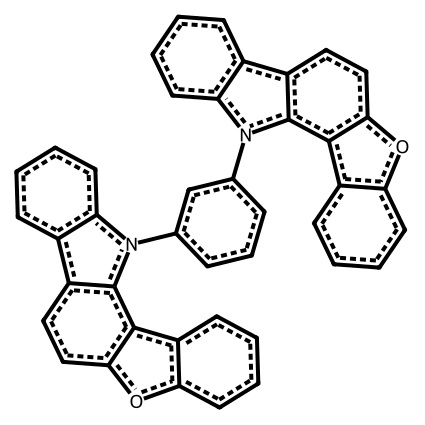 c1cc(-n2c3ccccc3c3ccc4oc5ccccc5c4c32)cc(-n2c3ccccc3c3ccc4oc5ccccc5c4c32)c1